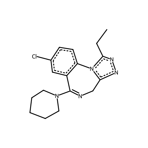 CCc1nnc2n1-c1ccc(Cl)cc1C(N1CCCCC1)=NC2